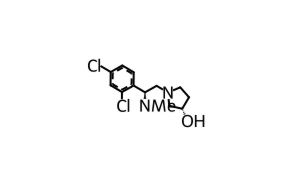 CN[C@H](CN1CC[C@H](O)C1)c1ccc(Cl)cc1Cl